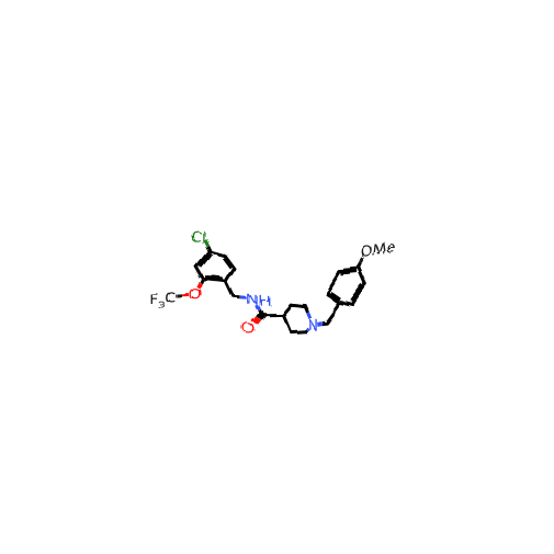 COc1ccc(CN2CCC(C(=O)NCc3ccc(Cl)cc3OC(F)(F)F)CC2)cc1